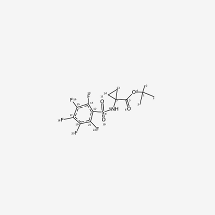 CC(C)(C)OC(=O)C1(NS(=O)(=O)c2c(F)c(F)c(F)c(F)c2F)CC1